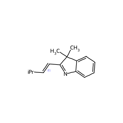 CC(C)/C=C/C1=Nc2ccccc2C1(C)C